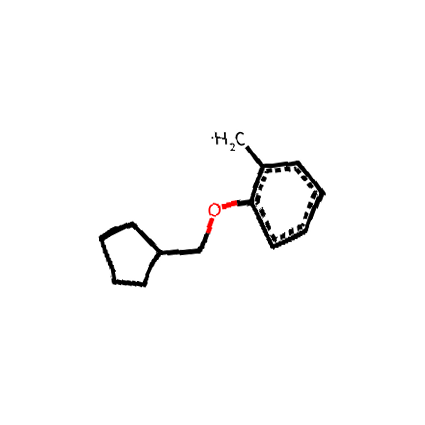 [CH2]c1ccccc1OCC1CCCC1